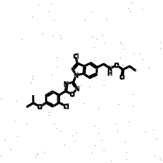 CCC(=O)ONCc1ccc2c(c1)c(Cl)cn2-c1noc(-c2ccc(OC(C)C)cc2Cl)n1